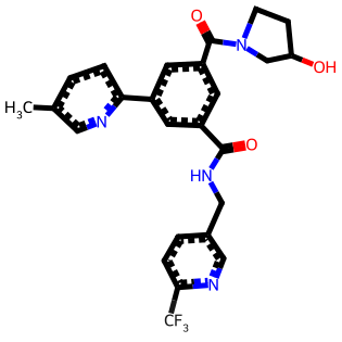 Cc1ccc(-c2cc(C(=O)NCc3ccc(C(F)(F)F)nc3)cc(C(=O)N3CCC(O)C3)c2)nc1